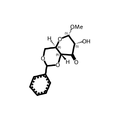 CO[C@H]1O[C@@H]2COC(c3ccccc3)O[C@H]2C(=O)[C@H]1O